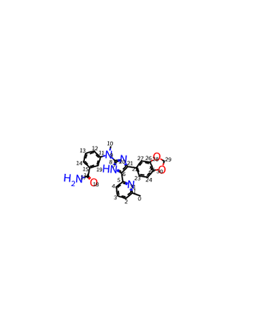 Cc1cccc(-c2[nH]c(N(C)c3cccc(C(N)=O)c3)nc2-c2ccc3c(c2)OCO3)n1